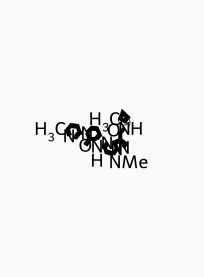 CNc1cc(Nc2cccn(-c3ccc(C)nc3)c2=O)nc2c(C(=O)N[C@H]3CC[C@H]3C)cnn12